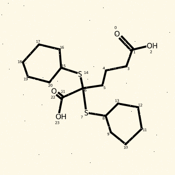 O=C(O)CCCC(SC1CCCCC1)(SC1CCCCC1)C(=O)O